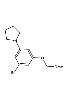 COCOc1cc(Br)cc(N2CCCC2)c1